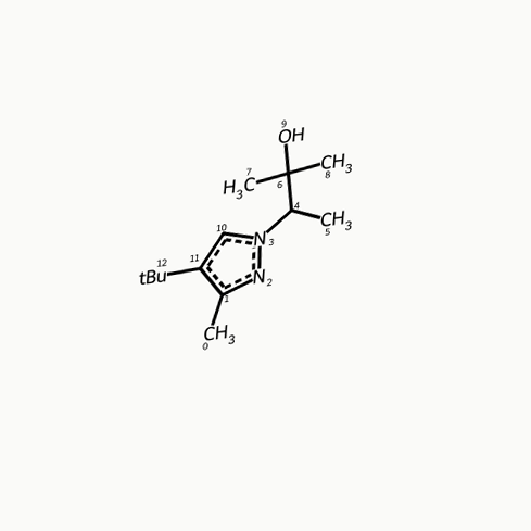 Cc1nn(C(C)C(C)(C)O)cc1C(C)(C)C